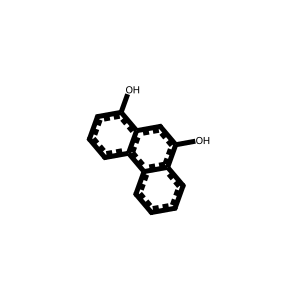 Oc1cc2c(O)cccc2c2ccccc12